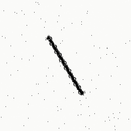 CC(C)OCCOCCOCCOCCOCCOCCOCCOCCOCCOCCOCCOCCOCCOC(C)C